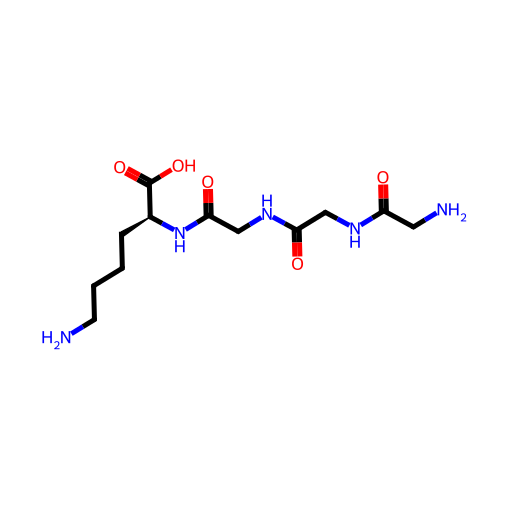 NCCCC[C@H](NC(=O)CNC(=O)CNC(=O)CN)C(=O)O